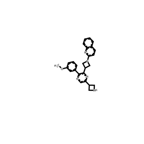 COc1cccc(-c2ncc(C3CNC3)nc2C2CN(c3ccc4ccccc4n3)C2)c1